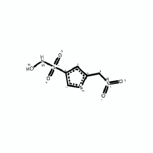 O=[SH](=O)Cc1cc(S(=O)(=O)NO)cs1